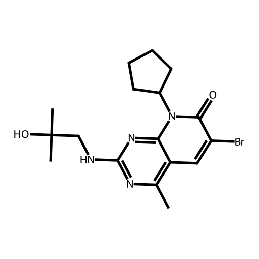 Cc1nc(NCC(C)(C)O)nc2c1cc(Br)c(=O)n2C1CCCC1